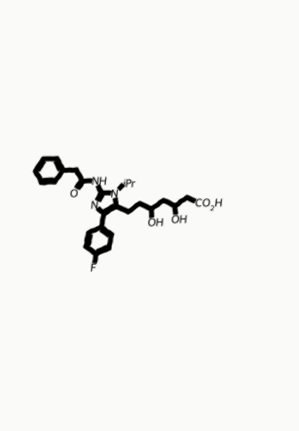 CC(C)n1c(NC(=O)Cc2ccccc2)nc(-c2ccc(F)cc2)c1CCC(O)CC(O)CC(=O)O